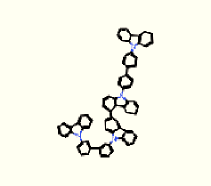 C1=CC2C3=C(C=CCC3)N(c3ccc(-c4ccc(N5C6=C(CCC=C6)C6C(c7ccc8c(c7)c7ccccc7n8-c7cccc(-c8cccc(-n9c%10ccccc%10c%10ccccc%109)c8)c7)=CC=CC65)cc4)cc3)C2C=C1